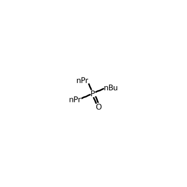 CCCCP(=O)(CCC)CCC